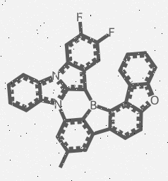 Cc1cc2c3c(c1)-n1c4ccccc4n4c5cc(F)c(F)cc5c(c14)B3c1c-2ccc2oc3ccccc3c12